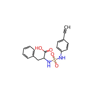 C#Cc1ccc(NS(=O)(=O)NC(Cc2ccccc2)C(=O)O)cc1